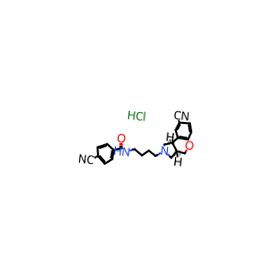 Cl.N#Cc1ccc(C(=O)NCCCCN2C[C@H]3COc4ccc(C#N)cc4[C@@H]3C2)cc1